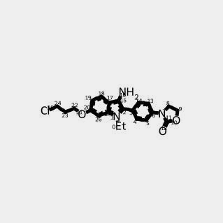 CCn1c(-c2ccc(N3CCOC3=O)cc2)c(N)c2ccc(OCCCCl)cc21